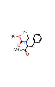 COC(=O)[C@H](Cc1ccccc1)N(CC(C)C)C(=O)OC(C)(C)C